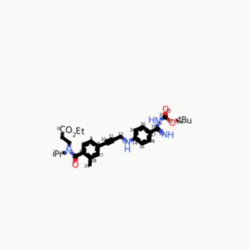 CCOC(=O)CCN(C(=O)c1ccc(C#CCNc2ccc(C(=N)NC(=O)OC(C)(C)C)cc2)cc1C)C(C)C